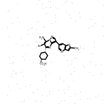 CC(=O)c1c(N)n2ncc(-c3cnc4cc(C)sc4c3)c2nc1[C@H]1CC[C@H](C(=O)O)CC1